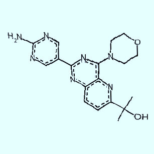 CC(C)(O)c1ccc2nc(-c3cnc(N)nc3)nc(N3CCOCC3)c2n1